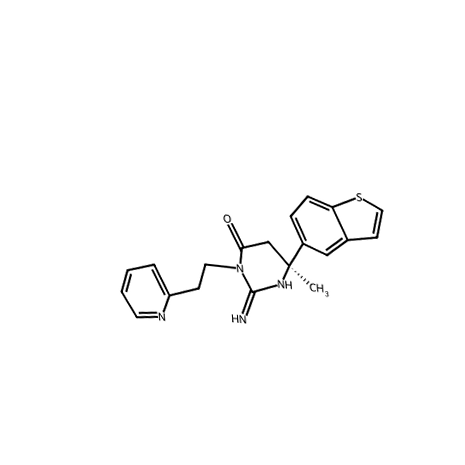 C[C@@]1(c2ccc3sccc3c2)CC(=O)N(CCc2ccccn2)C(=N)N1